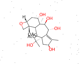 CC(=O)O[C@H]1C2[C@@](C)([C@@H](O)C[C@H]3OC[C@@]23OC(C)=O)[C@@H](O)[C@H](O)C2=C(C)[C@@H](O)C[C@]21C(C)(C)O